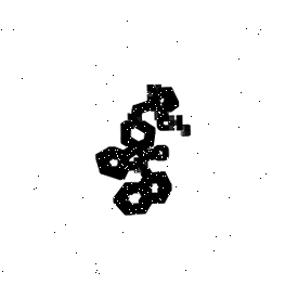 Cn1ccnc1CN1CCC2(CC1)C(=O)N(c1cccc3ccccc13)c1ccccc12